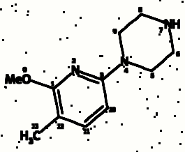 COc1nc(N2CCNCC2)ccc1C